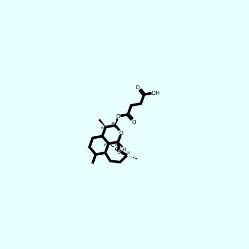 CC1CCC2[C@@H](C)[C@@H](OC(=O)CCC(=O)O)O[C@@H]3O[C@]4(C)CCC1[C@@]23OO4